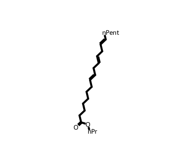 CCCCCC=CCC=CCC=CCCCCCCC(=O)OCCC